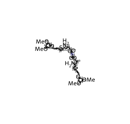 COc1cc(OC)cc(OCC#Cc2ccc(C(N)C[C@@H](C)COC(=O)/C=C/C(=O)OC[C@H](C)CC(N)c3ccc(C#CCOc4cc(OC)cc(OC)c4)s3)s2)c1